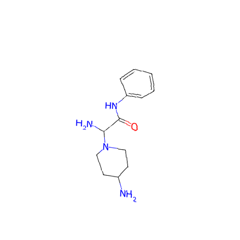 NC1CCN(C(N)C(=O)Nc2ccccc2)CC1